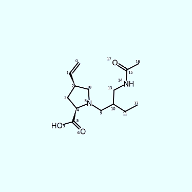 C=C[C@@H]1C[C@H](C(=O)O)N(CC(CC)CNC(C)=O)C1